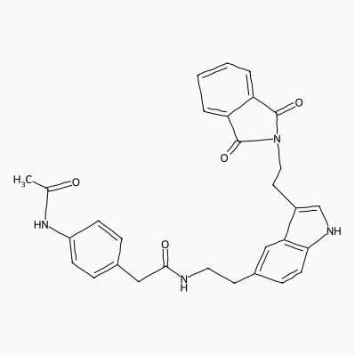 CC(=O)Nc1ccc(CC(=O)NCCc2ccc3[nH]cc(CCN4C(=O)c5ccccc5C4=O)c3c2)cc1